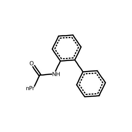 CCCC(=O)Nc1ccccc1-c1ccccc1